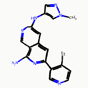 CCc1ccncc1-c1cc2cc(Nc3cnn(C)c3)ncc2c(N)n1